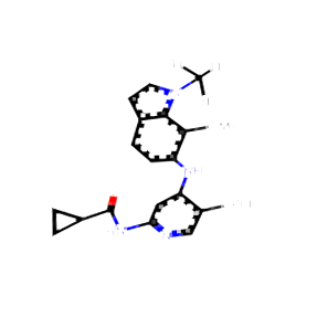 [2H]C([2H])([2H])n1ccc2ccc(Nc3cc(NC(=O)C4CC4)ncc3C(=O)O)c(OC)c21